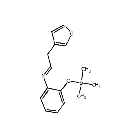 C[Si](C)(C)Oc1ccccc1N=CCc1ccoc1